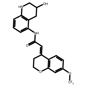 O=C(/C=C1\CCOc2cc(OC(F)(F)F)ccc21)Nc1cccc2c1CC(O)CN2